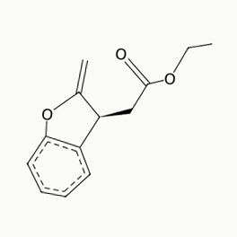 C=C1Oc2ccccc2[C@@H]1CC(=O)OCC